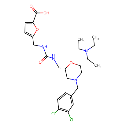 CCN(CC)CC.O=C(NCc1ccc(C(=O)O)o1)NC[C@H]1CN(Cc2ccc(Cl)c(Cl)c2)CCO1